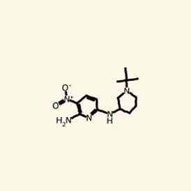 CC(C)(C)N1CCCC(Nc2ccc([N+](=O)[O-])c(N)n2)C1